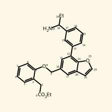 CCOC(=O)Cc1ccccc1OCc1cc(-c2cccc(C(N)CC)c2)c2occc2c1